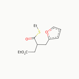 CCOC(=O)CC(Cc1ccco1)C(=O)SCC